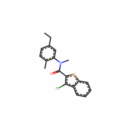 CCc1ccc(C)c(N(C)C(=O)c2sc3ccccc3c2Cl)c1